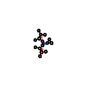 c1ccc(-c2cc(-c3ccccc3)c3oc4c(-c5ccc6c(c5)c5cc(-c7cc(-c8ccccc8)cc8c7oc7c(-c9ccccc9)cc(-c9ccccc9)cc78)ccc5n6-c5ccc6c7ccccc7c7ccccc7c6c5)cc(-c5ccccc5)cc4c3c2)cc1